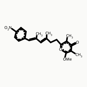 COc1oc(CC/C(C)=C/C(C)=C/c2ccc([N+](=O)[O-])cc2)c(C)c(=O)c1C